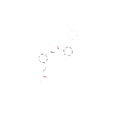 O=C(/C=C/c1cccc(/C=C/C(=O)c2ccccc2CN2CCNCC2)c1)NO